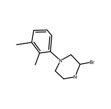 Cc1cccc(N2CC[N]C(Br)C2)c1C